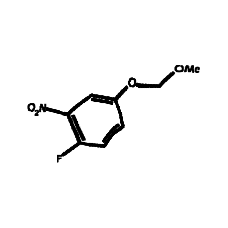 COCOc1ccc(F)c([N+](=O)[O-])c1